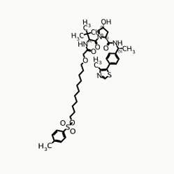 Cc1ccc(S(=O)(=O)OCCCCCCCCCCCOCC(=O)N[C@H](C(=O)N2C[C@H](O)C[C@H]2C(=O)N[C@@H](C)c2ccc(-c3scnc3C)cc2)C(C)(C)C)cc1